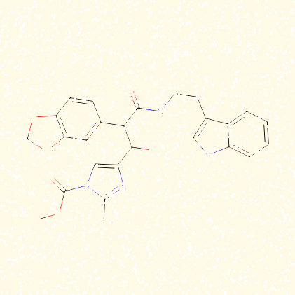 CCCCc1nc(C(O)C(C(=O)N[C@@H](Cc2c[nH]c3ccccc23)C(=O)O)c2ccc3c(c2)OCO3)cn1C(=O)OC(C)(C)C